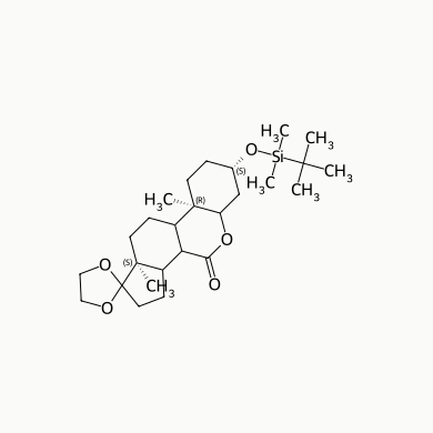 CC(C)(C)[Si](C)(C)O[C@H]1CC[C@@]2(C)C(C1)OC(=O)C1C2CC[C@@]2(C)C1CCC21OCCO1